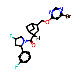 O=C([C@H]1CC(COc2cc(Br)ncn2)C2CC1C2)N1CC(F)CC1c1cccc(F)c1